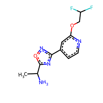 CC(N)c1nc(-c2ccnc(OCC(F)F)c2)no1